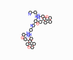 c1ccc(-c2nc(-c3ccc(-c4ccc(-c5ccc(-c6nc(-c7ccccc7)nc(-c7cccc(-c8cccnc8)c7)n6)c6c5oc5ccc(-c7ccc8c(c7)C7(c9ccccc9O8)c8ccccc8-c8ccccc87)cc56)cn4)cc3)nc(-c3cccc4oc5ccc(-c6ccc7c(c6)C6(c8ccccc8Oc8ccccc86)c6ccccc6-7)cc5c34)n2)cc1